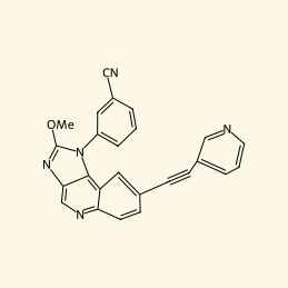 COc1nc2cnc3ccc(C#Cc4cccnc4)cc3c2n1-c1cccc(C#N)c1